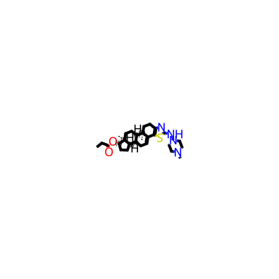 CCC(=O)O[C@H]1CC[C@H]2[C@@H]3CC=C4c5sc(NN6CCN(C)CC6)nc5CC[C@]4(C)[C@H]3CC[C@]12C